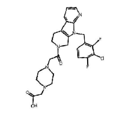 O=C(O)CN1CCN(CC(=O)N2CCc3c(n(Cc4ccc(F)c(Cl)c4F)c4ncccc34)C2)CC1